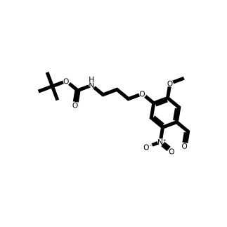 COc1cc(C=O)c([N+](=O)[O-])cc1OCCCNC(=O)OC(C)(C)C